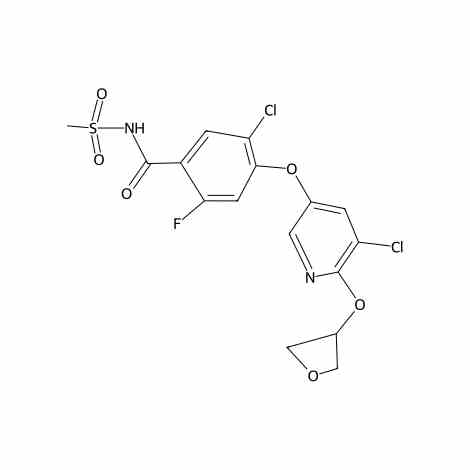 CS(=O)(=O)NC(=O)c1cc(Cl)c(Oc2cnc(OC3COC3)c(Cl)c2)cc1F